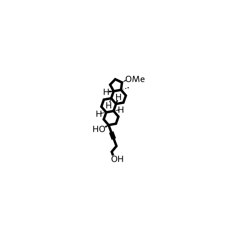 CO[C@H]1CC[C@H]2[C@@H]3CC[C@@H]4C[C@@](O)(C#CCCO)CC[C@@H]4[C@H]3CC[C@]12C